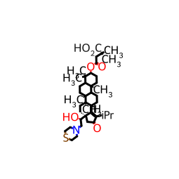 CC(C)C1=C2[C@H]3CCC4[C@@]5(C)CC[C@H](OC(=O)CC(C)(C)C(=O)O)C(C)(C)C5CC[C@@]4(C)[C@]3(C)CC[C@@]2([C@H](O)CN2CCSCC2)CC1=O